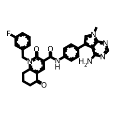 Cn1cc(-c2ccc(NC(=O)c3cc4c(n(Cc5cccc(F)c5)c3=O)CCCC4=O)cc2)c2c(N)ncnc21